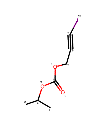 CC(C)OC(=O)OCC#CI